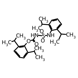 CC(C)c1cccc(C(C)C)c1NS(=O)(=O)NC(=O)Oc1c(C(C)C)cccc1C(C)C